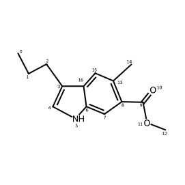 CCCc1c[nH]c2cc(C(=O)OC)c(C)cc12